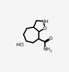 Cl.NC(=O)C1CCCCC2CNOC21